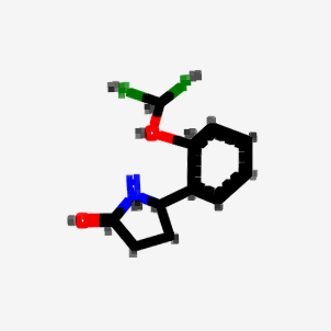 O=C1CCC(c2ccccc2OC(F)F)N1